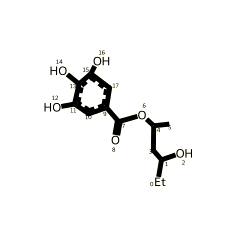 CCC(O)CC(C)OC(=O)c1cc(O)c(O)c(O)c1